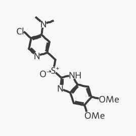 COc1cc2nc([S+]([O-])Cc3cc(N(C)C)c(Cl)cn3)[nH]c2cc1OC